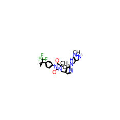 Cn1cc(CNc2cc(CN3C(=O)N(c4ccc(C5(C(F)(F)F)CC5)cc4)C(=O)C3(C)C)ccn2)cn1